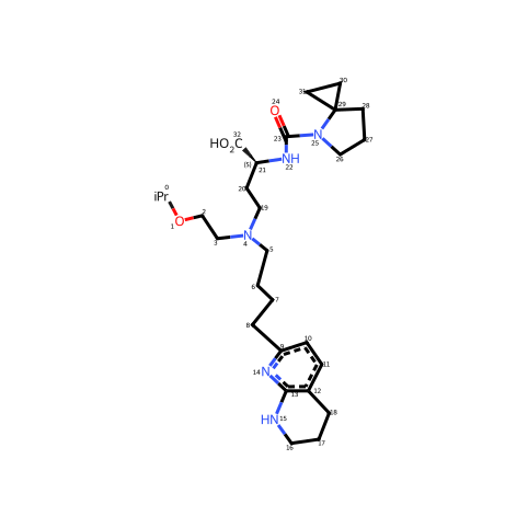 CC(C)OCCN(CCCCc1ccc2c(n1)NCCC2)CC[C@H](NC(=O)N1CCCC12CC2)C(=O)O